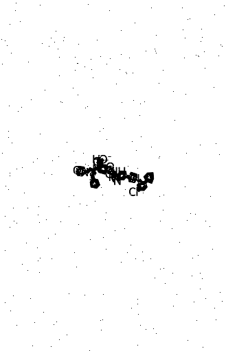 O=[N+]([O-])c1cc(S(=O)(=O)Nc2ncnc3cc(C4=CCN(Cc5cc(Cl)ccc5-c5ccccc5)CC4)ccc23)ccc1NC(CCN1CCOCC1)CSc1ccccc1